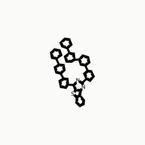 c1ccc(-c2ccc(-c3cccc(-c4nc(-c5cccc(-c6cccc(-c7cccc(-c8ccccc8)c7)c6)c5)nc5c4sc4ccccc45)c3)cc2)cc1